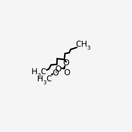 CCCCCC(CCCCC)OC(=O)OOCC